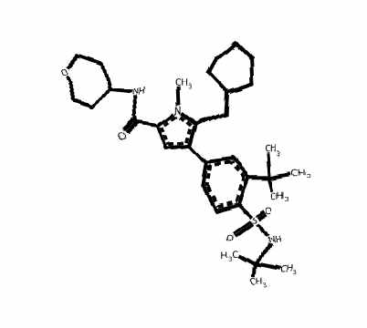 Cn1c(C(=O)NC2CCOCC2)cc(-c2ccc(S(=O)(=O)NC(C)(C)C)c(C(C)(C)C)c2)c1CC1CCCCC1